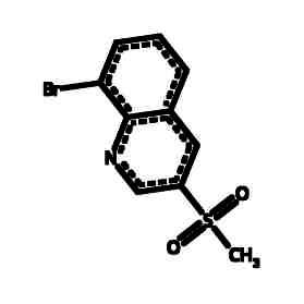 CS(=O)(=O)c1cnc2c(Br)cccc2c1